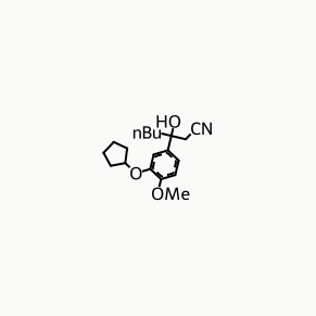 CCCCC(O)(CC#N)c1ccc(OC)c(OC2CCCC2)c1